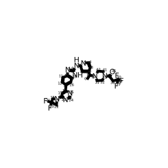 CC(c1ccnc(Nc2nc3ccc(-c4cc(N5CC(F)(F)C5)ncn4)cc3[nH]2)c1)N1CCN(C(=O)CC(F)(F)F)CC1